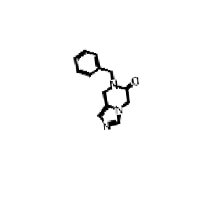 O=C1Cn2cncc2CN1Cc1ccccc1